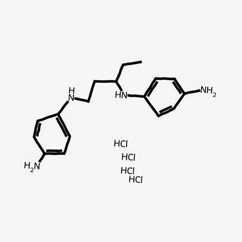 CCC(CCNc1ccc(N)cc1)Nc1ccc(N)cc1.Cl.Cl.Cl.Cl